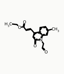 CCOC(=O)/C=C/c1cc(=O)n(CC=O)c2cc(C)ccc12